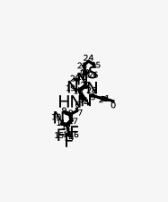 CC#Cc1nc(NCc2cncc(C(F)(F)F)c2)c2ncn([C@H]3CCCS3)c2n1